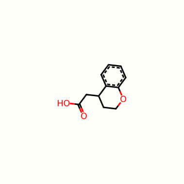 O=C(O)CC1CCOc2ccccc21